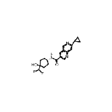 O=C(N[C@H]1CC[C@@](O)(C(F)F)CC1)c1cnc2cc(C3CC3)ncc2c1